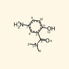 CN(C)C(=O)c1cc(N)ccc1O